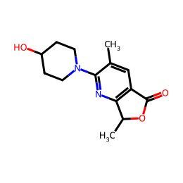 Cc1cc2c(nc1N1CCC(O)CC1)C(C)OC2=O